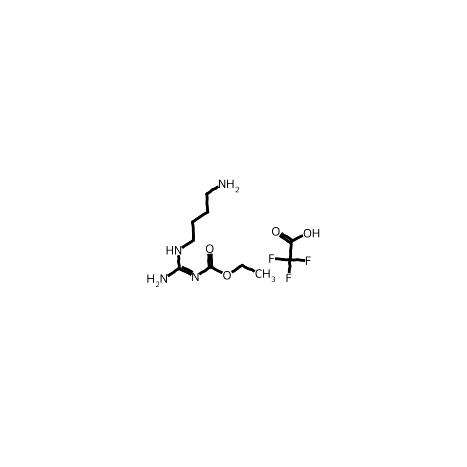 CCOC(=O)/N=C(/N)NCCCCN.O=C(O)C(F)(F)F